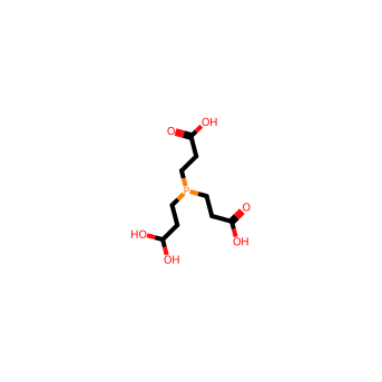 O=C(O)CCP(CCC(=O)O)CCC(O)O